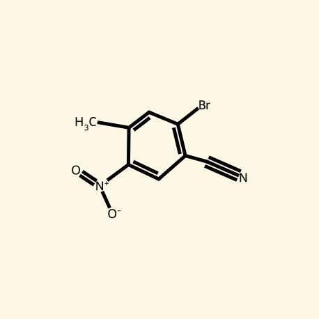 Cc1cc(Br)c(C#N)cc1[N+](=O)[O-]